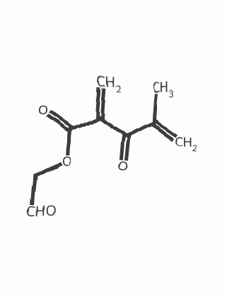 C=C(C)C(=O)C(=C)C(=O)OCC=O